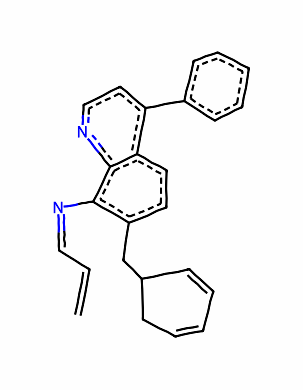 C=C/C=N\c1c(CC2C=CC=CC2)ccc2c(-c3ccccc3)ccnc12